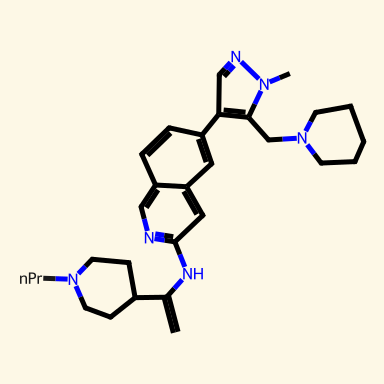 C=C(Nc1cc2cc(-c3cnn(C)c3CN3CCCCC3)ccc2cn1)C1CCN(CCC)CC1